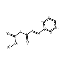 CC(C)OC(=O)CC(=O)C=Cc1cccnc1